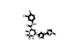 CN1[C@@H](C(=O)Nc2ccc(F)c(Cl)c2)C[C@@H](c2cc(-c3ncn(C)n3)cs2)NS1(=O)=O